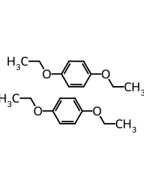 CCOc1ccc(OCC)cc1.CCOc1ccc(OCC)cc1